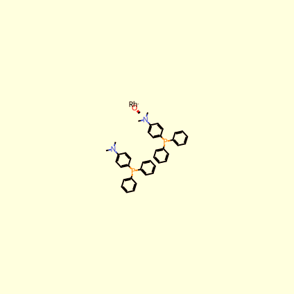 C=O.CN(C)c1ccc(P(c2ccccc2)c2ccccc2)cc1.CN(C)c1ccc(P(c2ccccc2)c2ccccc2)cc1.[Rh]